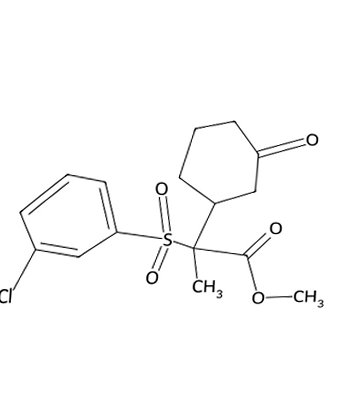 COC(=O)C(C)(C1CCCC(=O)C1)S(=O)(=O)c1cccc(Cl)c1